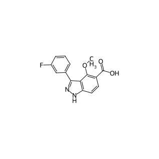 COc1c(C(=O)O)ccc2[nH]nc(-c3cccc(F)c3)c12